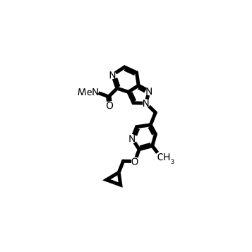 CNC(=O)c1nccc2nn(Cc3cnc(OCC4CC4)c(C)c3)cc12